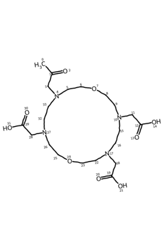 CC(=O)CN1CCOCCN(CC(=O)O)CCN(CC(=O)O)CCOCCN(CC(=O)O)CC1